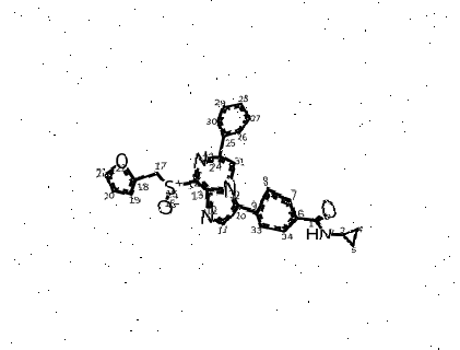 O=C(NC1CC1)c1ccc(-c2cnc3c([S+]([O-])Cc4ccco4)nc(-c4ccccc4)cn23)cc1